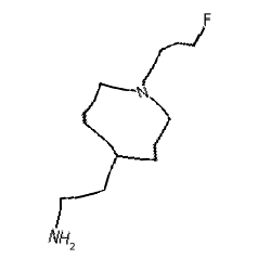 NCCC1CCN(CCF)CC1